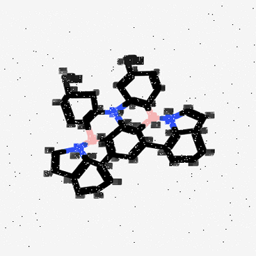 CC(C)(C)c1ccc2c(c1)N1c3cc(C(C)(C)C)ccc3B3c4c(cc5c(c41)B2n1ccc2cccc-5c21)-c1cccc2ccn3c12